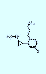 C=CCOc1ccc(Cl)cc1C1CC1NC